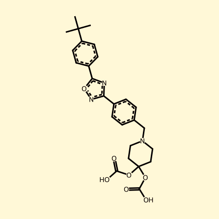 CC(C)(C)c1ccc(-c2nc(-c3ccc(CN4CCC(OC(=O)O)(OC(=O)O)CC4)cc3)no2)cc1